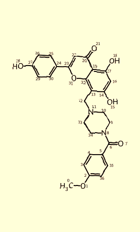 COc1ccc(C(=O)N2CCN(Cc3c(O)cc(O)c4c(=O)cc(-c5ccc(O)cc5)oc34)CC2)cc1